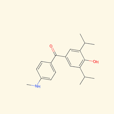 CNc1ccc(C(=O)c2cc(C(C)C)c(O)c(C(C)C)c2)cc1